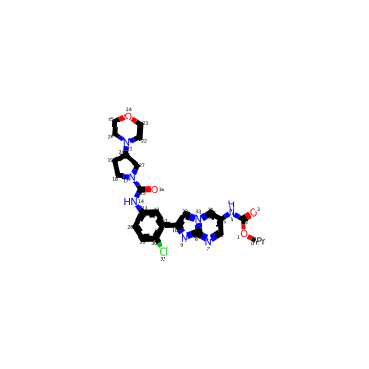 CC(C)OC(=O)Nc1cnc2nc(-c3cc(NC(=O)N4CCC(N5CCOCC5)C4)ccc3Cl)cn2c1